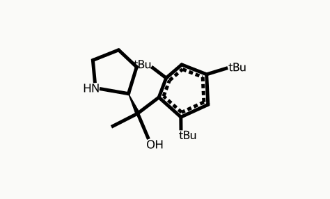 CC(C)(C)c1cc(C(C)(C)C)c(C(C)(O)[C@@H]2CCCN2)c(C(C)(C)C)c1